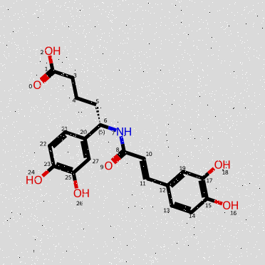 O=C(O)CCC[C@H](NC(=O)C=Cc1ccc(O)c(O)c1)c1ccc(O)c(O)c1